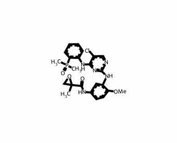 COc1ccc(NC(=O)C2(C)CO2)cc1Nc1ncc(Cl)c(Nc2ccccc2P(C)(C)=O)n1